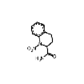 NC(=O)C1CCc2ccccc2N1[N+](=O)[O-]